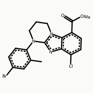 COC(=O)c1ccc(Cl)c2nc3n(c12)CCCN3c1ccc(Br)cc1C